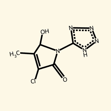 CC1=C(Cl)C(=O)N(c2nnn[nH]2)C1O